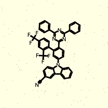 N#Cc1ccc2c(c1)c1ccccc1n2-c1ccc(-c2nc(-c3ccccc3)nc(-c3ccccc3)n2)c(-c2ccc(C(F)(F)F)cc2C(F)(F)F)c1